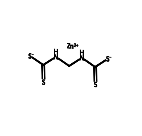 S=C([S-])NCNC(=S)[S-].[Zn+2]